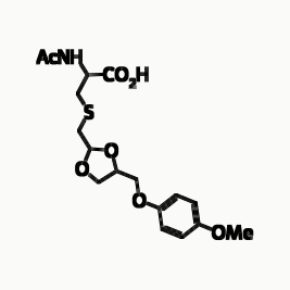 COc1ccc(OCC2COC(CSCC(NC(C)=O)C(=O)O)O2)cc1